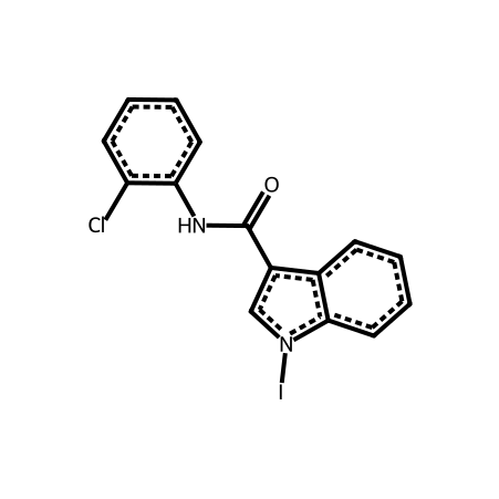 O=C(Nc1ccccc1Cl)c1cn(I)c2ccccc12